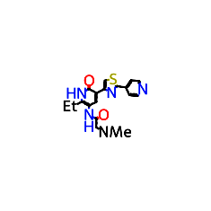 CCc1[nH]c(=O)c(-c2csc(-c3ccncc3)n2)cc1NC(=O)CNC